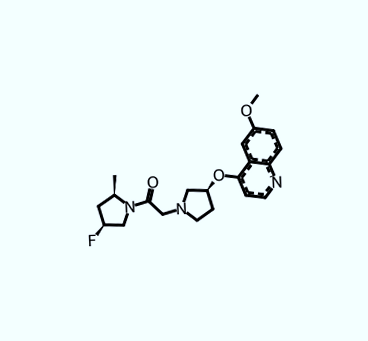 COc1ccc2nccc(O[C@H]3CCN(CC(=O)N4C[C@@H](F)C[C@H]4C)C3)c2c1